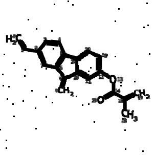 C=Cc1ccc2c(c1)C(=C)c1cc(OC(=O)C(=C)C)ccc1-2